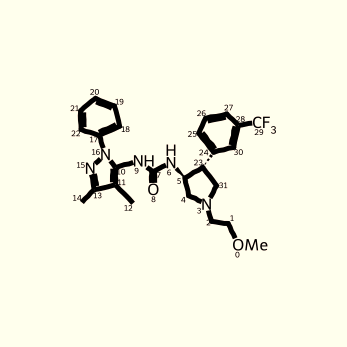 COCCN1C[C@@H](NC(=O)Nc2c(C)c(C)nn2-c2ccccc2)[C@H](c2cccc(C(F)(F)F)c2)C1